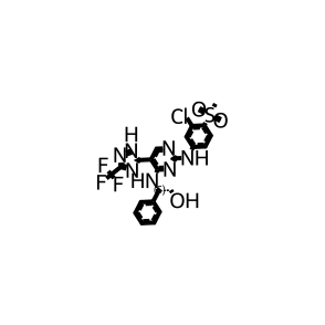 CS(=O)(=O)c1ccc(Nc2ncc(-c3nc(C(F)(F)F)n[nH]3)c(N[C@H](CO)c3ccccc3)n2)cc1Cl